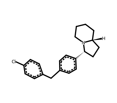 Clc1ccc(Cc2ccc([C@H]3CC[C@H]4CCCCN43)cc2)cc1